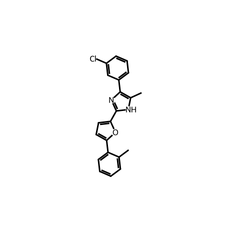 Cc1ccccc1-c1ccc(-c2nc(-c3cccc(Cl)c3)c(C)[nH]2)o1